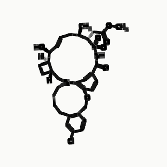 COC(=O)C[C@H]1[C@H](C)C/C=C/[C@H](O)[C@@H]2CC[C@H]2CN2CCCCc3cc(Cl)ccc3COc3ccc(cc32)C(=O)NS1(=O)=O